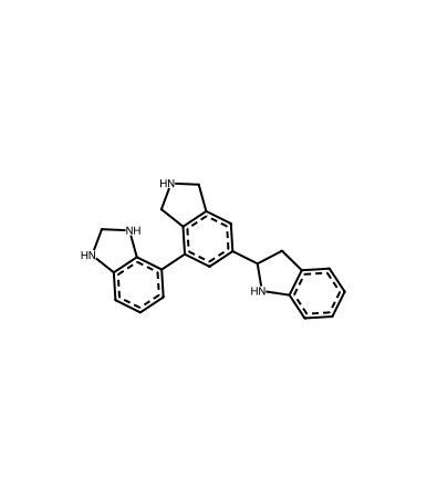 c1ccc2c(c1)CC(c1cc3c(c(-c4cccc5c4NCN5)c1)CNC3)N2